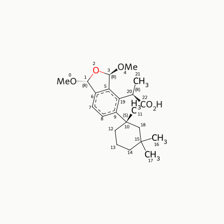 CO[C@@H]1O[C@@H](OC)c2c1ccc([C@@]1(C)CCCC(C)(C)C1)c2[C@@H](C)C(=O)O